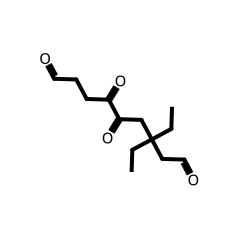 CCC(CC)(CC=O)CC(=O)C(=O)CCC=O